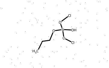 CCCO[Si](O)(OCl)OCl